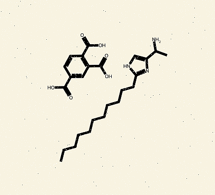 CCCCCCCCCCCc1nc(C(C)N)c[nH]1.O=C(O)c1ccc(C(=O)O)c(C(=O)O)c1